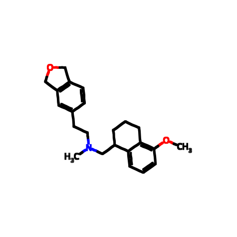 COc1cccc2c1CCCC2CN(C)CCc1ccc2c(c1)COC2